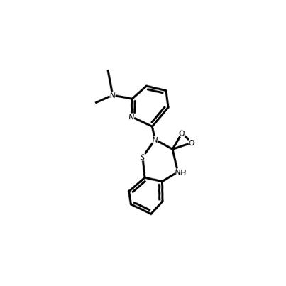 CN(C)c1cccc(N2Sc3ccccc3NC23OO3)n1